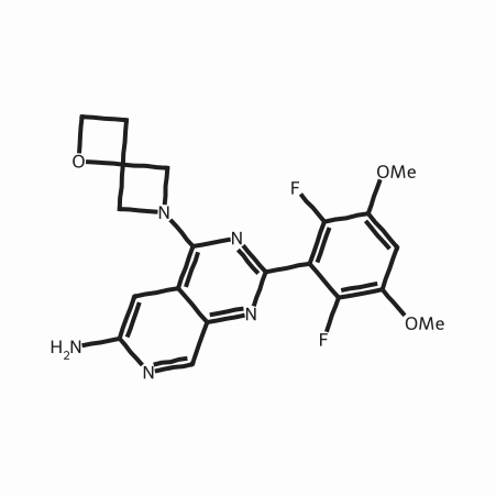 COc1cc(OC)c(F)c(-c2nc(N3CC4(CCO4)C3)c3cc(N)ncc3n2)c1F